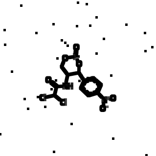 O=C(NC1CO[P](=O)OC1c1ccc([N+](=O)[O-])cc1)C(Cl)Cl